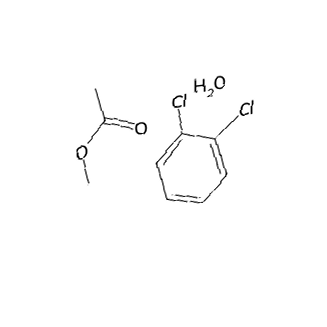 COC(C)=O.Clc1ccccc1Cl.O